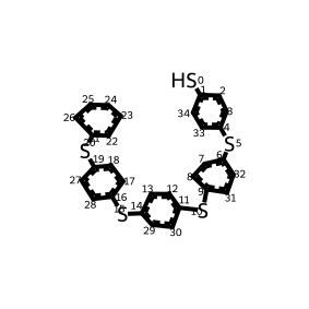 Sc1ccc(Sc2ccc(Sc3ccc(Sc4ccc(Sc5ccccc5)cc4)cc3)cc2)cc1